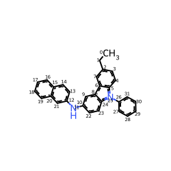 CCc1ccc2c(c1)c1cc(Nc3ccc4ccccc4c3)ccc1n2-c1ccccc1